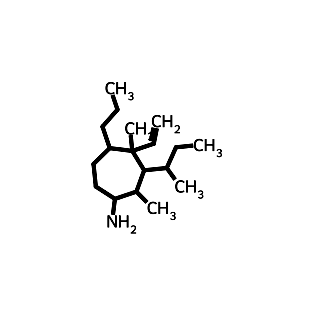 C=CC1(C)C(CCC)CCC(N)C(C)C1C(C)CC